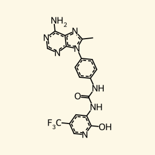 Cc1nc2c(N)ncnc2n1-c1ccc(NC(=O)Nc2cc(C(F)(F)F)cnc2O)cc1